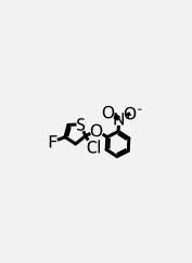 O=[N+]([O-])c1ccccc1OC1(Cl)CC(F)=CS1